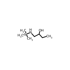 CCC(O)CN[Si](C)(C)C